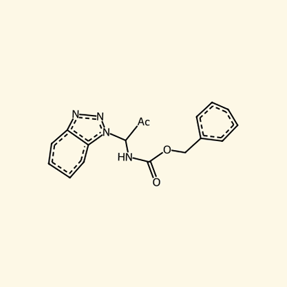 CC(=O)C(NC(=O)OCc1ccccc1)n1nnc2ccccc21